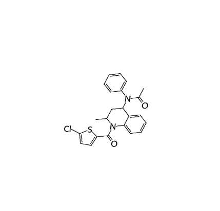 CC(=O)N(c1ccccc1)C1CC(C)N(C(=O)c2ccc(Cl)s2)c2ccccc21